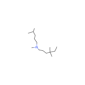 CCC(C)(C)CCCN(C)CCCC(C)C